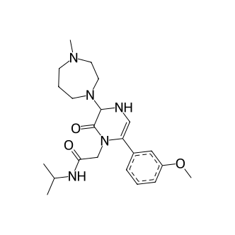 COc1cccc(C2=CNC(N3CCCN(C)CC3)C(=O)N2CC(=O)NC(C)C)c1